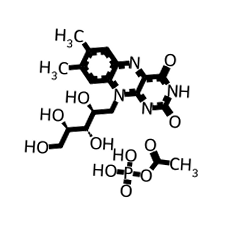 CC(=O)OP(=O)(O)O.Cc1cc2nc3c(=O)[nH]c(=O)nc-3n(C[C@H](O)[C@H](O)[C@H](O)CO)c2cc1C